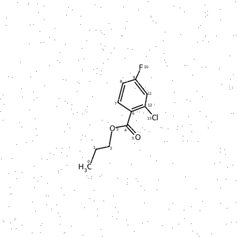 CCCOC(=O)c1ccc(F)cc1Cl